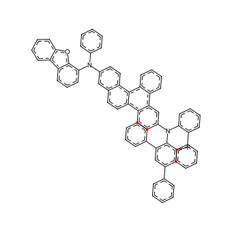 Fc1cc(-c2ccccc2)cc(-c2ccccc2)c1N(c1ccc2c(c1)c1ccccc1c1c3ccc(N(c4ccccc4)c4cccc5c4oc4ccccc45)cc3ccc21)c1ccccc1-c1ccccc1